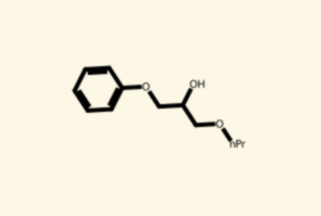 CCCOCC(O)COc1ccccc1